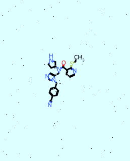 CCSc1ncccc1C(=O)N(Cc1cncn1Cc1ccc(C#N)cc1)[C@@H]1CCNC1